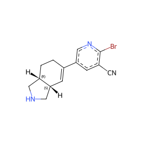 N#Cc1cc(C2=C[C@@H]3CNC[C@@H]3CC2)cnc1Br